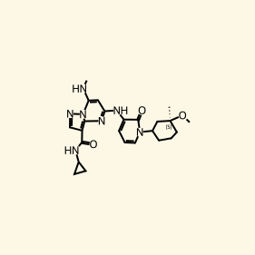 CNc1cc(Nc2cccn(C3CCC[C@](C)(OC)C3)c2=O)nc2c(C(=O)NC3CC3)cnn12